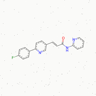 O=C(C=Cc1ccc(-c2ccc(F)cc2)nc1)Nc1ccccn1